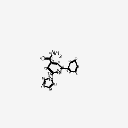 NC(=O)c1cc(-c2ccccc2)nc(-n2ccnc2)c1